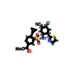 COC(=O)c1ccc(C2CC2)c(S(=O)(=O)Nc2cc(C#N)c(Cl)cc2-c2nccs2)c1